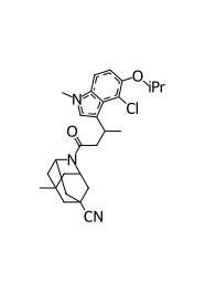 CC(C)Oc1ccc2c(c(C(C)CC(=O)N3C4CC5(C)CC3CC(C#N)(C4)C5)cn2C)c1Cl